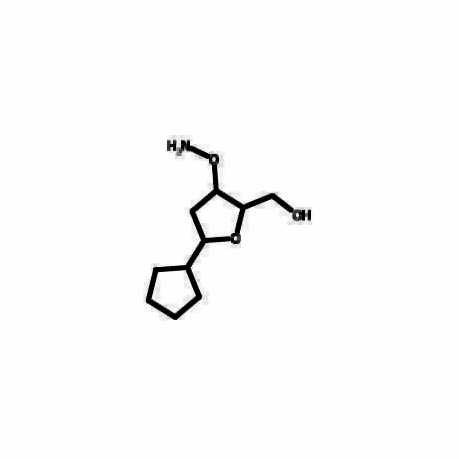 NOC1CC(C2CCCC2)OC1CO